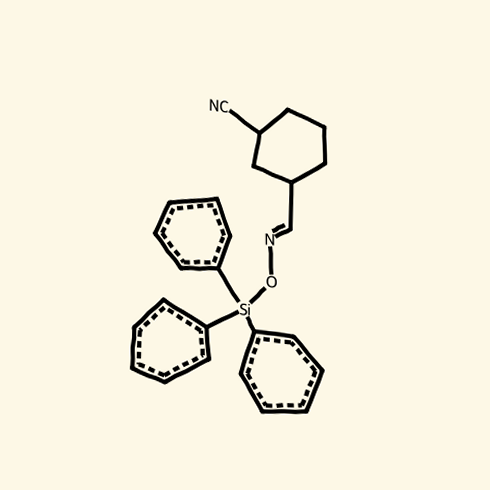 N#CC1CCCC(C=NO[Si](c2ccccc2)(c2ccccc2)c2ccccc2)C1